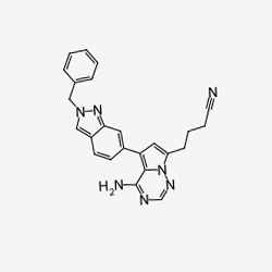 N#CCCCc1cc(-c2ccc3cn(Cc4ccccc4)nc3c2)c2c(N)ncnn12